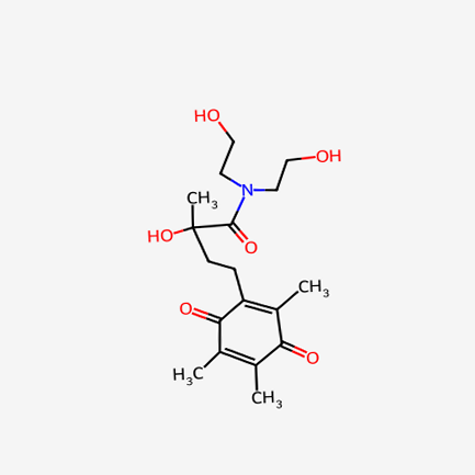 CC1=C(C)C(=O)C(CCC(C)(O)C(=O)N(CCO)CCO)=C(C)C1=O